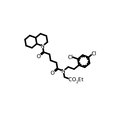 CCOC(=O)CN(CCc1ccc(Cl)cc1Cl)C(=O)CCCC(=O)N1CCCC2CCCCC21